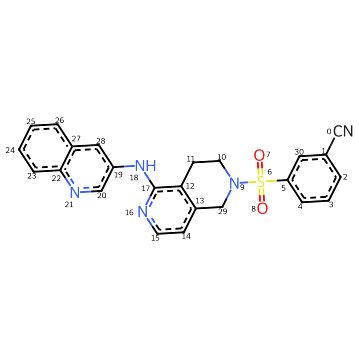 N#Cc1cccc(S(=O)(=O)N2CCc3c(ccnc3Nc3cnc4ccccc4c3)C2)c1